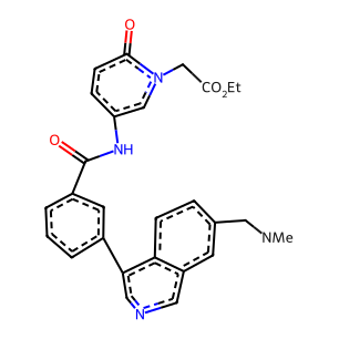 CCOC(=O)Cn1cc(NC(=O)c2cccc(-c3cncc4cc(CNC)ccc34)c2)ccc1=O